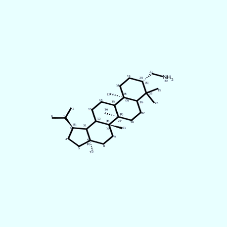 CC(C)[C@@H]1CC[C@]2(C)CC[C@]3(C)C(CCC4[C@@]5(C)CC[C@H](CN)C(C)(C)C5CC[C@]43C)C12